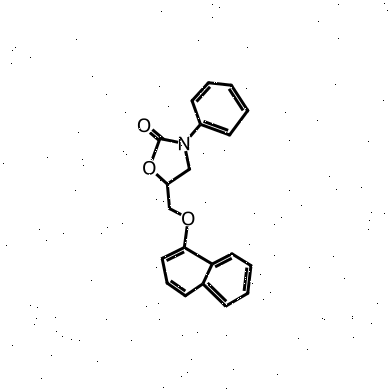 O=C1OC(COc2cccc3ccccc23)CN1c1ccccc1